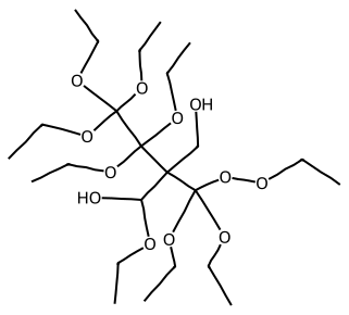 CCOOC(OCC)(OCC)C(CO)(C(O)OCC)C(OCC)(OCC)C(OCC)(OCC)OCC